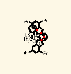 CCC1=Cc2c(C(C)C)cc(C(C)C)cc2[CH]1[Hf]([CH3])([CH3])(=[SiH2])([c]1ccccc1)([c]1ccccc1)[CH]1C(CC)=Cc2c(C(C)C)cc(C(C)C)cc21